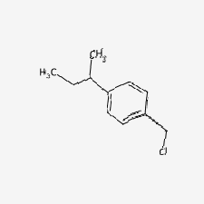 CCC(C)c1ccc(CCl)cc1